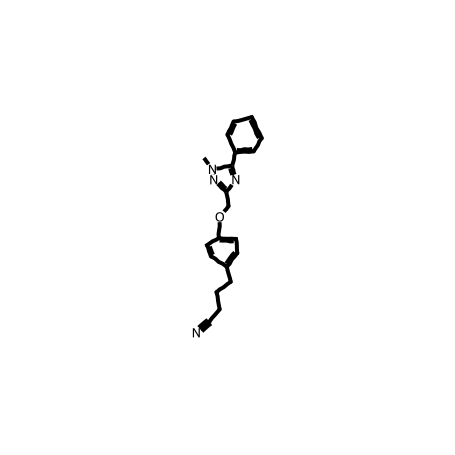 Cn1nc(COc2ccc(CCCC#N)cc2)nc1-c1ccccc1